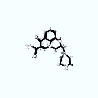 NC(=O)c1cn2c3c(cccc3c1=O)OC(CN1CCOCC1)C2